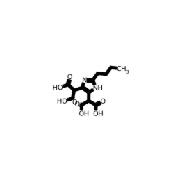 CCCCc1nc(C(C(=O)O)C(=O)O)c(C(C(=O)O)C(=O)O)[nH]1